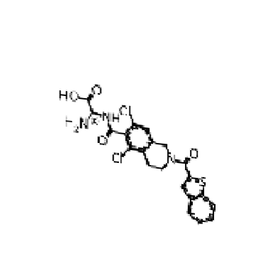 N[C@H](NC(=O)c1c(Cl)cc2c(c1Cl)CCN(C(=O)c1cc3ccccc3s1)C2)C(=O)O